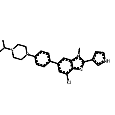 CC(C)N1CCN(c2ccc(-c3cc(Cl)c4nc(-c5cc[nH]c5)n(C)c4c3)cc2)CC1